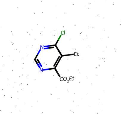 CCOC(=O)c1ncnc(Cl)c1CC